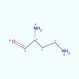 NCC[C@@H](N)C=O